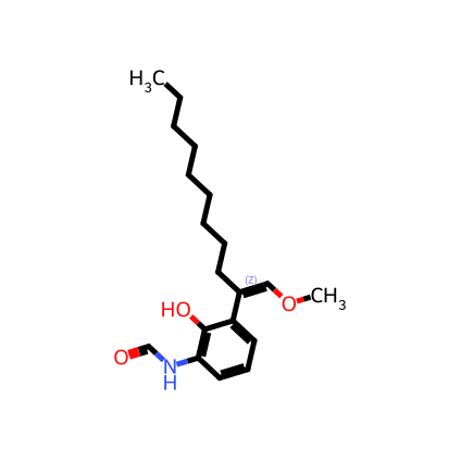 CCCCCCCCC/C(=C/OC)c1cccc(NC=O)c1O